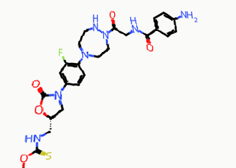 COC(=S)NC[C@H]1CN(c2ccc(N3CCNN(C(=O)CNC(=O)c4ccc(N)cc4)CC3)c(F)c2)C(=O)O1